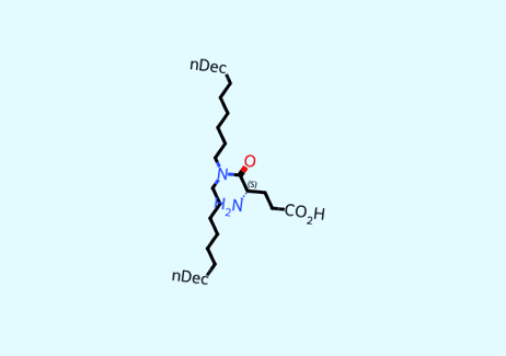 CCCCCCCCCCCCCCCCN(CCCCCCCCCCCCCCCC)C(=O)[C@@H](N)CCC(=O)O